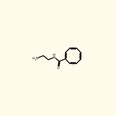 NCCNC(=O)C1=C/C=C\C=C/C=C\1